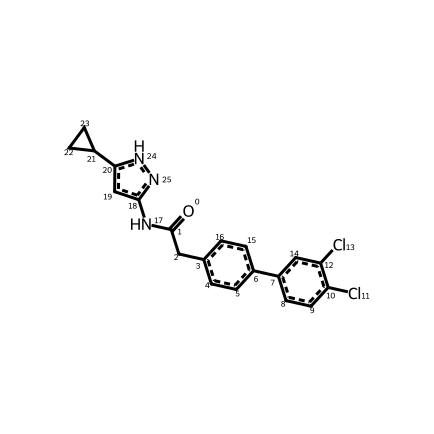 O=C(Cc1ccc(-c2ccc(Cl)c(Cl)c2)cc1)Nc1cc(C2CC2)[nH]n1